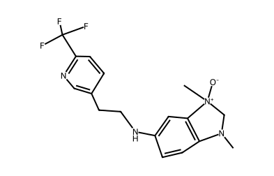 CN1C[N+](C)([O-])c2cc(NCCc3ccc(C(F)(F)F)nc3)ccc21